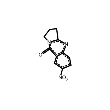 O=c1c2cc([N+](=O)[O-])ccc2nc2n1CCC2